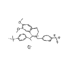 COc1cc2c(cc1OC)C(C(C)c1ccc(C(C)(C)C)cc1)=[N+](Cc1ccc(C(F)(F)F)cc1)CC2.[Cl-]